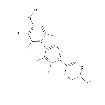 CCCC1CCC(c2cc3c(c(F)c2F)-c2c(cc(OCC)c(F)c2F)C3)=CO1